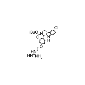 CC(C)COC(=O)N1CCc2c([nH]c3ccc(Cl)cc23)C1c1ccc(OCCNC(=N)N)cc1